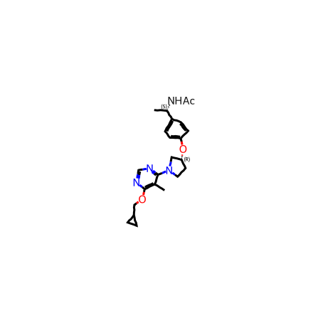 CC(=O)N[C@@H](C)c1ccc(O[C@@H]2CCN(c3ncnc(OCC4CC4)c3C)C2)cc1